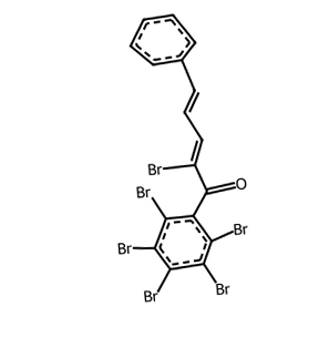 O=C(C(Br)=CC=Cc1ccccc1)c1c(Br)c(Br)c(Br)c(Br)c1Br